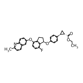 CCOC(=O)[C@H]1C[C@@H]1c1ccc(O[C@@H]2CCc3c(Oc4ccc5nc(C)ccc5c4)ccc(F)c32)cc1